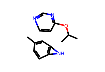 CC(C)Oc1ccncn1.Cc1ccc2c(c1)N2